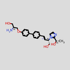 C[C@H](O)c1nccn1[C@@H](/C=C/c1ccc(-c2ccc(OC[C@@H](N)CO)cc2)cc1)CO